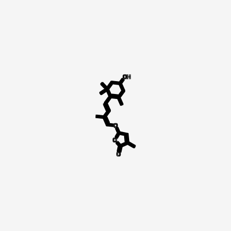 CC1=CC(O/C=C(C)\C=C\C2=C(C)CC(O)CC2(C)C)OC1=O